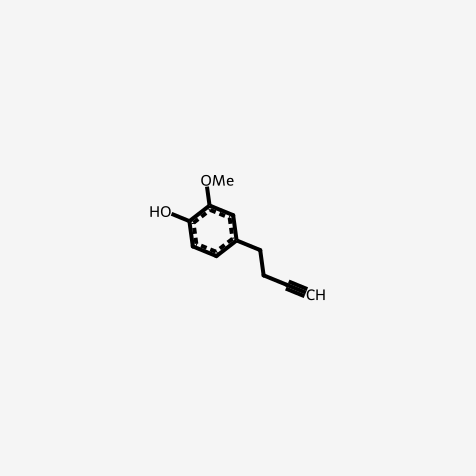 C#CCCc1ccc(O)c(OC)c1